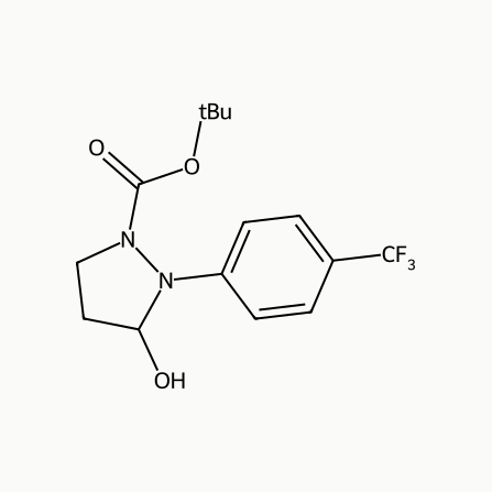 CC(C)(C)OC(=O)N1CCC(O)N1c1ccc(C(F)(F)F)cc1